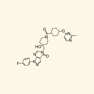 Cc1nccc(OC2CCC(C(=O)N3CCC(O)(Cn4cnc5c(cnn5-c5ccc(F)cc5)c4=O)CC3)CC2)n1